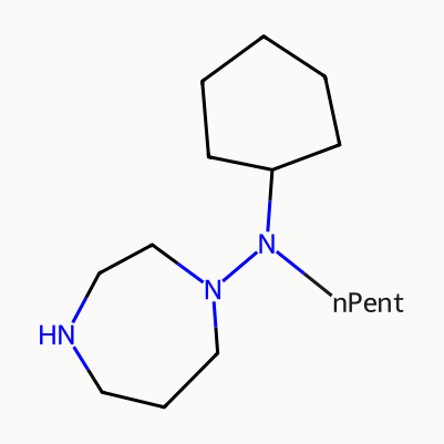 CCCCCN(C1CCCCC1)N1CCCNCC1